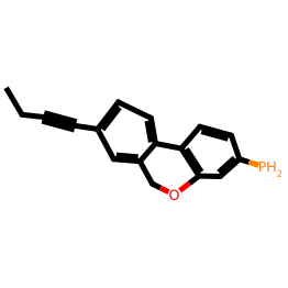 CCC#Cc1ccc2c(c1)COc1cc(P)ccc1-2